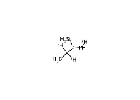 [2H]C([3H])(B)P([SiH3])P[3H]